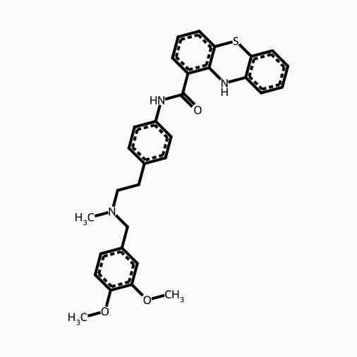 COc1ccc(CN(C)CCc2ccc(NC(=O)c3cccc4c3Nc3ccccc3S4)cc2)cc1OC